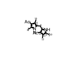 CC(=O)c1c(I)[nH]c(Cc2[nH]c(I)c(C)c2C(C)=O)c1C